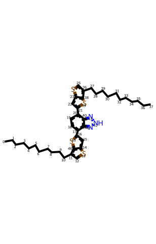 CCCCCCCCCCCc1csc2cc(-c3ccc(-c4cc5scc(CCCCCCCCCCC)c5s4)c4n[nH]nc34)sc12